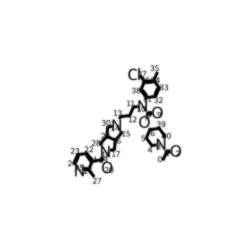 CC(=O)N1CCC(OC(=O)N(CCCN2CC3CN(C(=O)c4cccnc4C)CC3C2)c2ccc(C)c(Cl)c2)CC1